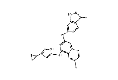 O=C1[N]Nc2cc(Nc3nc(Nc4cc(C5CC5)n[nH]4)c4cc(Cl)ccc4n3)ccc21